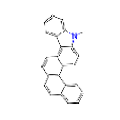 Cn1c2ccccc2c2c3ccc4ccc5ccccc5c4c3ccc21